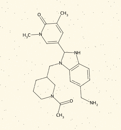 CC(=O)N1CCCC(CN2c3cc(CN)ccc3NC2c2cc(C)c(=O)n(C)c2)C1